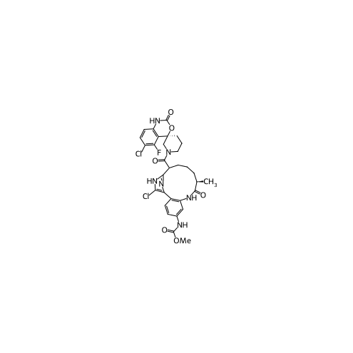 COC(=O)Nc1ccc2c(c1)NC(=O)[C@H](C)CCCC(C(=O)N1CCC[C@@]3(C1)OC(=O)Nc1ccc(Cl)c(F)c13)c1nc-2c(Cl)[nH]1